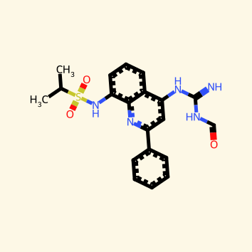 CC(C)S(=O)(=O)Nc1cccc2c(NC(=N)NC=O)cc(-c3ccccc3)nc12